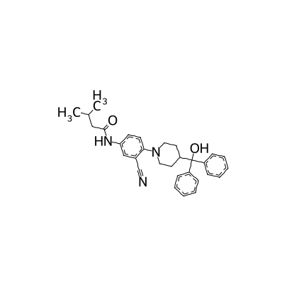 CC(C)CC(=O)Nc1ccc(N2CCC(C(O)(c3ccccc3)c3ccccc3)CC2)c(C#N)c1